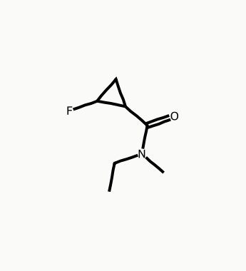 CCN(C)C(=O)C1CC1F